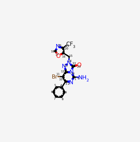 Nc1nc(-c2ccccc2)c(Br)c2nn(Cc3ocnc3C(F)(F)F)c(=O)n12